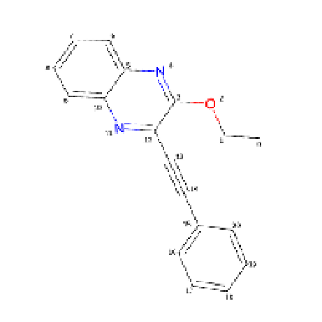 CCOc1nc2ccccc2nc1C#Cc1ccccc1